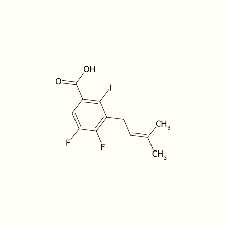 CC(C)=CCc1c(F)c(F)cc(C(=O)O)c1I